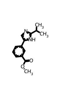 COC(=O)c1cccc(-c2cnc(C(C)C)[nH]2)c1